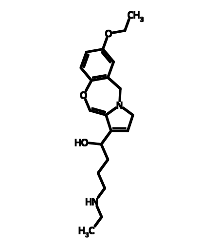 CCNCCCC(O)C1=CCN2Cc3cc(OCC)ccc3OC=C12